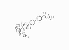 C[C@H](C(=O)O)c1ccc(-c2ccc([C@H](N[C@@H](CC(C)(C)F)C(=O)NC3(C#N)CC3)C(F)(F)F)cc2)cc1